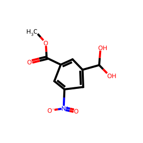 COC(=O)c1cc(C(O)O)cc([N+](=O)[O-])c1